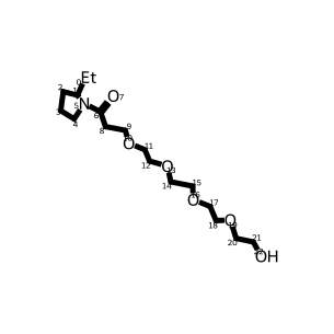 CCC1CCCN1C(=O)CCOCCOCCOCCOCCO